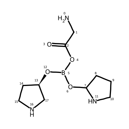 NCC(=O)OB(OC1CCCN1)O[C@@H]1CCNC1